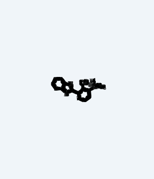 COc1cccc(-c2nc3ccccc3s2)c1C(=O)O